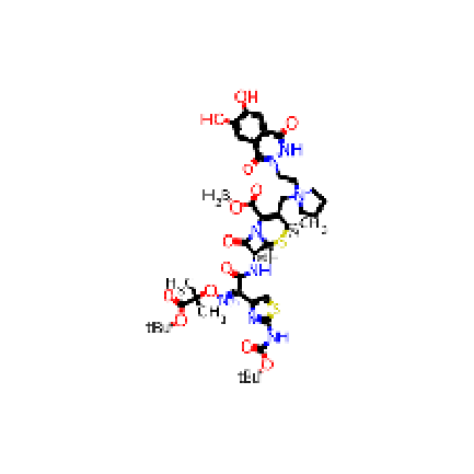 BOC(=O)C1=C(C[N+]2(CCn3[nH]c(=O)c4cc(O)c(O)cc4c3=O)CCCC2)[C@H](C)S[C@@H]2[C@H](NC(=O)/C(=N\OC(C)(C)C(=O)OC(C)(C)C)c3csc(NC(=O)OC(C)(C)C)n3)C(=O)N12